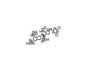 CC(=O)Nc1cc(Nc2nc(Cl)nc(Cl)n2)ccc1N=Nc1cc2c(S(=O)(=O)O)cc(S(=O)(=O)O)cc2cc1S(=O)(=O)O